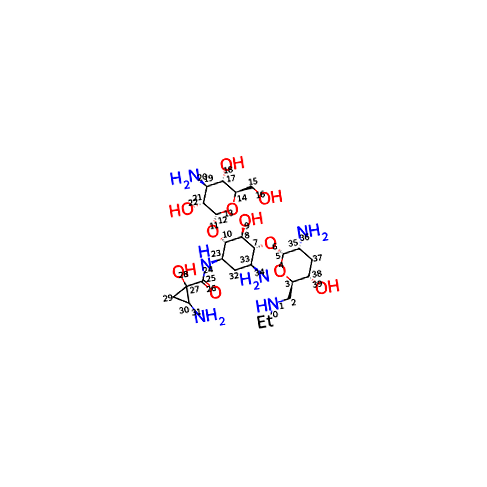 CCNC[C@H]1O[C@H](O[C@H]2[C@H](O)[C@@H](O[C@H]3O[C@H](CO)[C@@H](O)[C@H](N)[C@H]3O)[C@H](NC(=O)C3(O)CC3N)C[C@@H]2N)[C@H](N)C[C@@H]1O